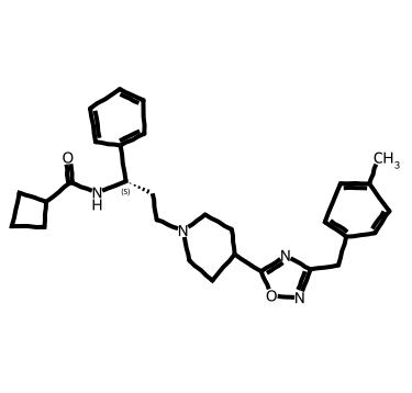 Cc1ccc(Cc2noc(C3CCN(CC[C@H](NC(=O)C4CCC4)c4ccccc4)CC3)n2)cc1